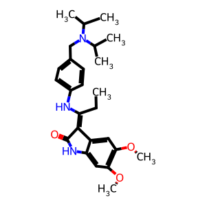 CC/C(Nc1ccc(CN(C(C)C)C(C)C)cc1)=C1/C(=O)Nc2cc(OC)c(OC)cc21